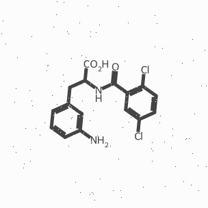 Nc1cccc(CC(NC(=O)c2cc(Cl)ccc2Cl)C(=O)O)c1